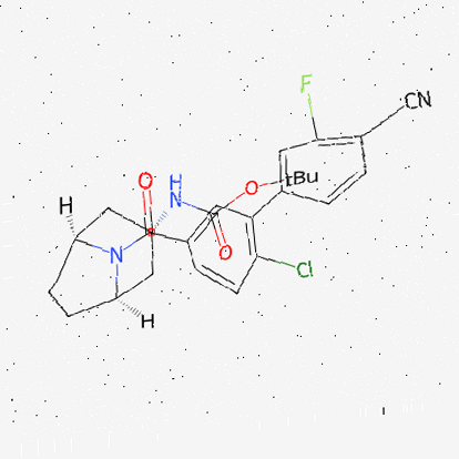 CC(C)(C)OC(=O)N[C@@H]1C[C@H]2CC[C@@H](C1)N2C(=O)c1ccc(Cl)c(-c2ccc(C#N)c(F)c2)c1